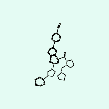 N#Cc1ccc(-c2ccc3nc(N4CCC(c5ccccc5)C4)cc(C(=O)N4CCC[C@H]4CN4CCCC4)c3c2)cc1